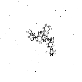 Cc1nccn1-c1ccc(Nc2nc3c(c(NC4CCCCC4)n2)CN(C(=O)OC(C)(C)C)CC3)cc1